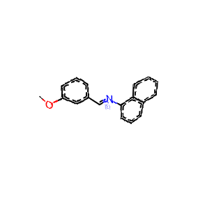 COc1cccc(/C=N/c2cccc3ccccc23)c1